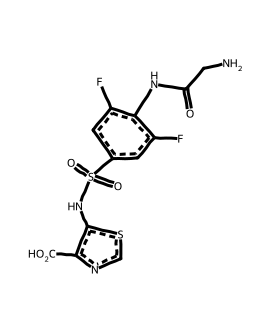 NCC(=O)Nc1c(F)cc(S(=O)(=O)Nc2scnc2C(=O)O)cc1F